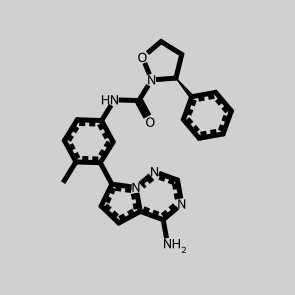 Cc1ccc(NC(=O)N2OCC[C@H]2c2ccccc2)cc1-c1ccc2c(N)ncnn12